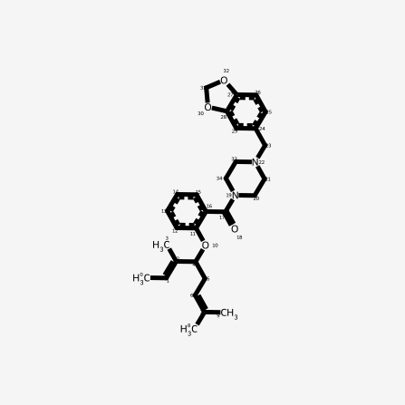 C/C=C(\C)C(CC=C(C)C)Oc1ccccc1C(=O)N1CCN(Cc2ccc3c(c2)OCO3)CC1